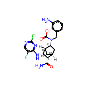 NC(=O)[C@H]1[C@H]2C[C@H]([C@H]1Nc1nc(Cl)ncc1F)[C@H](N(Cc1cccc(N)c1)C(=O)O)C2